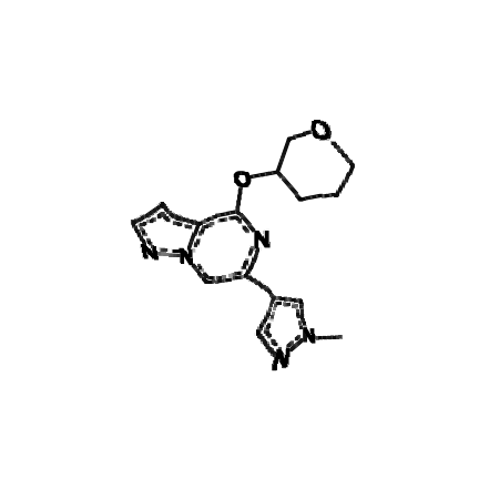 Cn1cc(-c2cn3nccc3c(OC3CCCOC3)n2)cn1